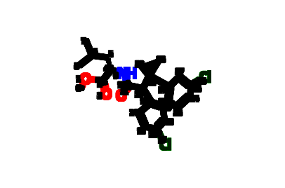 COC(=O)[C@H](CC(C)C)NC(=O)C(c1ccc(Cl)cc1)C1(c2cccc(Cl)c2)CC1